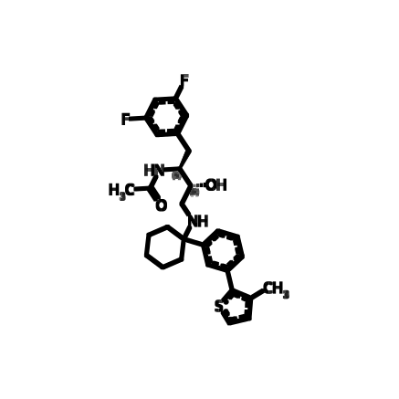 CC(=O)N[C@@H](Cc1cc(F)cc(F)c1)[C@H](O)CNC1(c2cccc(-c3sccc3C)c2)CCCCC1